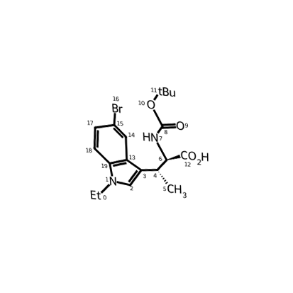 CCn1cc([C@@H](C)[C@@H](NC(=O)OC(C)(C)C)C(=O)O)c2cc(Br)ccc21